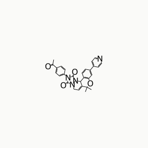 CC(=O)c1ccc(-n2c(=O)n3n(c2=O)C2C(=CC3)C(C)(C)Oc3cc(-c4ccncc4)ccc32)cc1